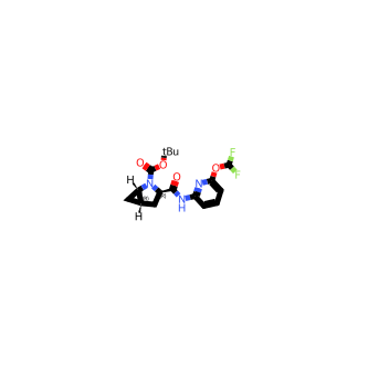 CC(C)(C)OC(=O)N1[C@@H](C(=O)Nc2cccc(OC(F)F)n2)C[C@H]2C[C@H]21